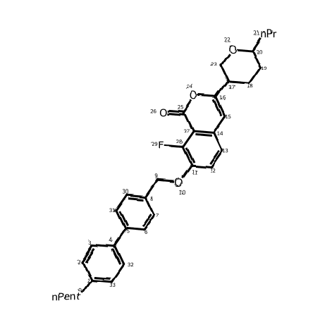 CCCCCc1ccc(-c2ccc(COc3ccc4cc(C5CCC(CCC)OC5)oc(=O)c4c3F)cc2)cc1